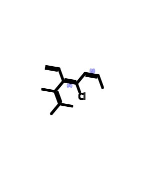 C=C/C(C(C)=C(C)C)=C(Cl)\C=C/C